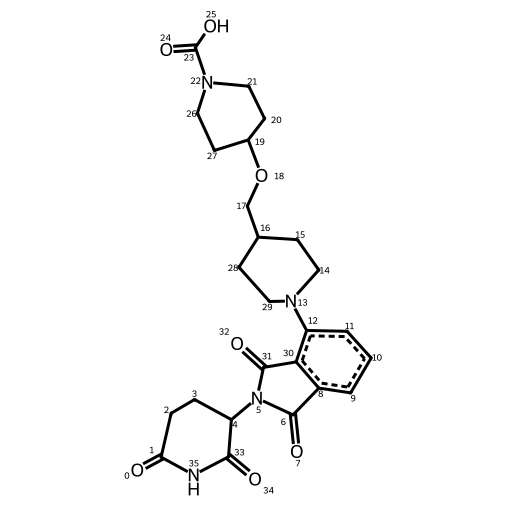 O=C1CCC(N2C(=O)c3cccc(N4CCC(COC5CCN(C(=O)O)CC5)CC4)c3C2=O)C(=O)N1